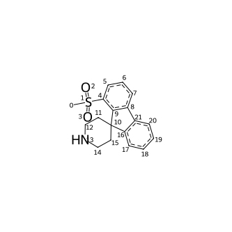 CS(=O)(=O)c1cccc2c1C1(CCNCC1)c1ccccc1-2